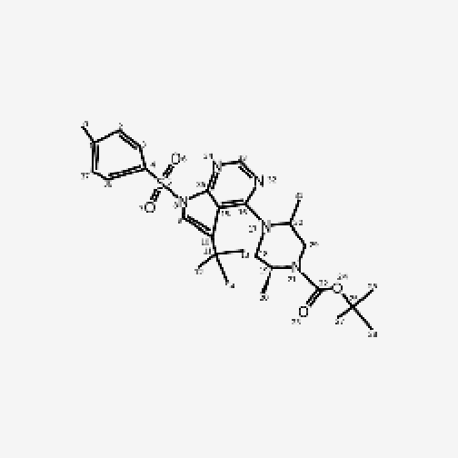 Cc1ccc(S(=O)(=O)n2cc(C(C)(C)C)c3c(N4C[C@H](C)N(C(=O)OC(C)(C)C)CC4C)ncnc32)cc1